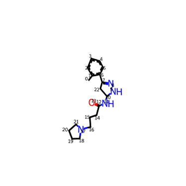 Cc1ccccc1C1=NNC(NC(=O)CCCN2CCCC2)C1